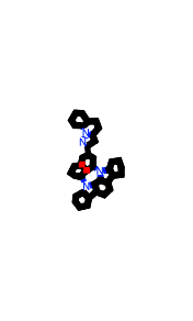 c1ccc(-n2c3ccccc3c3ccc4c5ccccc5n(-c5cccc(-c6cc7ccc8ccccc8n7n6)c5)c4c32)cc1